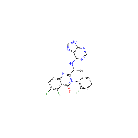 CC[C@@H](Nc1ncnc2[nH]cnc12)c1nc2ccc(F)c(Cl)c2c(=O)n1-c1ccccc1F